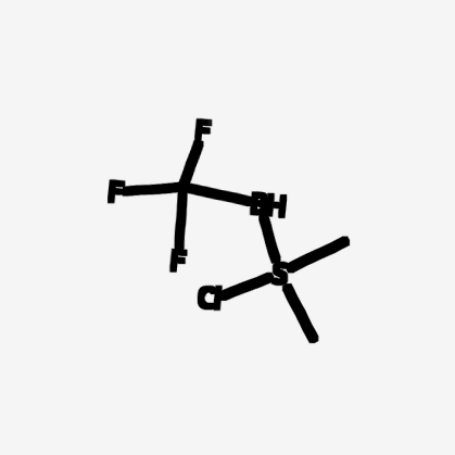 CS(C)(Cl)BC(F)(F)F